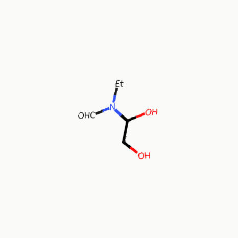 CCN(C=O)C(O)CO